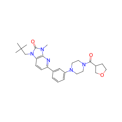 Cn1c(=O)n(CC(C)(C)C)c2ccc(-c3cccc(N4CCN(C(=O)C5CCOC5)CC4)c3)nc21